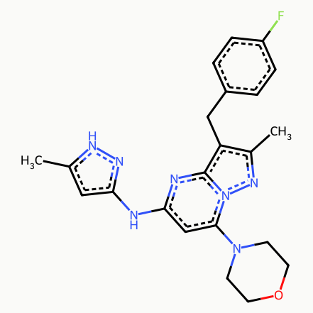 Cc1cc(Nc2cc(N3CCOCC3)n3nc(C)c(Cc4ccc(F)cc4)c3n2)n[nH]1